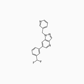 FC(F)c1cccc(-c2cnc3cnn(Cc4cccnc4)c3c2)c1